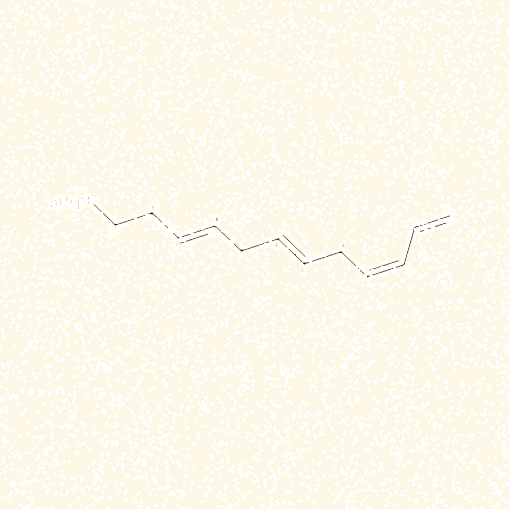 C=C/C=C\CC=CCC=CCCCCCCCCC